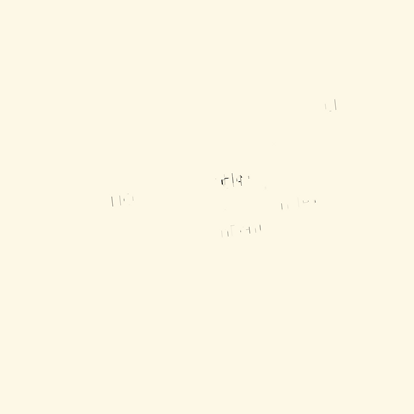 CCCCCCC(CCCCCC)(CC(C)(CCCCC)c1ccc(O)cc1)c1ccc(Cl)cc1